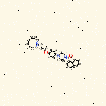 O=C(c1cccc2ccccc12)N1CCN(c2ccc(OCCCN3CCCCCCCC3)cc2)CC1